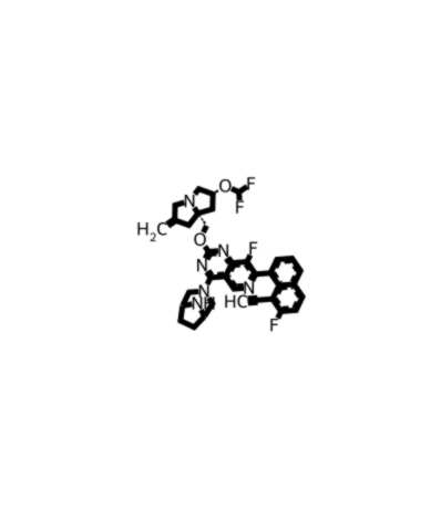 C#Cc1c(F)ccc2cccc(-c3ncc4c(N5CC6CCC(C5)N6)nc(OC[C@]56CC(=C)CN5C[C@H](OC(F)F)C6)nc4c3F)c12